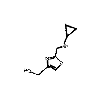 OCc1coc(CNC2CC2)n1